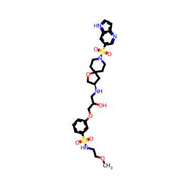 COCCNS(=O)(=O)c1cccc(OCC(O)CN[C@H]2COC3(CCN(S(=O)(=O)c4cnc5cc[nH]c5c4)CC3)C2)c1